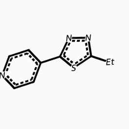 CCc1nnc(-c2ccncc2)s1